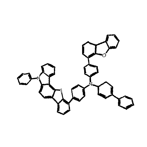 C1=CC(c2ccc(N(c3ccc(-c4cccc5c4sc4c5ccc5c4c4ccccc4n5-c4ccccc4)cc3)C3C=CC(c4ccccc4)=CC3)cc2)=C2Oc3ccccc3C2C1